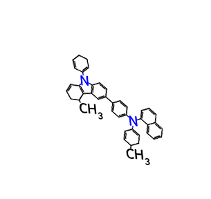 CC1C=CC(N(c2ccc(-c3ccc4c(c3)c3c(n4C4=CCCC=C4)C=CCC3C)cc2)c2cccc3ccccc23)=CC1